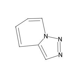 c1ccn2nncc2c1